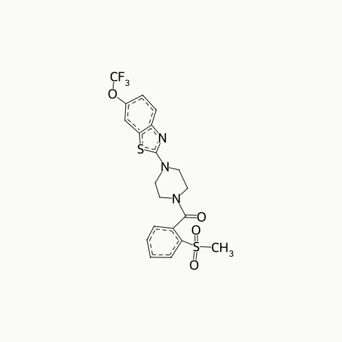 CS(=O)(=O)c1ccccc1C(=O)N1CCN(c2nc3ccc(OC(F)(F)F)cc3s2)CC1